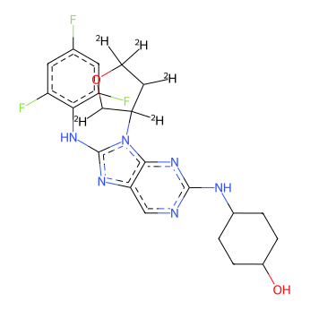 [2H]C1OC([2H])([2H])C([2H])C1([2H])n1c(Nc2c(F)cc(F)cc2F)nc2cnc(NC3CCC(O)CC3)nc21